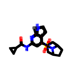 N#CCCCS(=O)(=O)N1C2CCC1CN(c1cc(NC(=O)C3CC3)nc3[nH]ccc13)C2